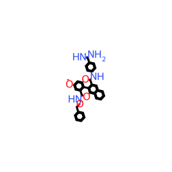 COc1ccc(-c2cc3ccccc3cc2C(=O)Nc2ccc(C(=N)N)cc2)c(C(=O)NOCc2ccccc2)c1